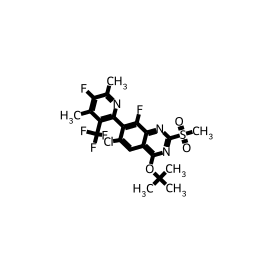 Cc1nc(-c2c(Cl)cc3c(OC(C)(C)C)nc(S(C)(=O)=O)nc3c2F)c(C(F)(F)F)c(C)c1F